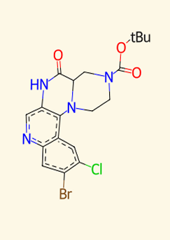 CC(C)(C)OC(=O)N1CCN2c3c(cnc4cc(Br)c(Cl)cc34)NC(=O)C2C1